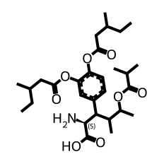 CCC(C)CC(=O)Oc1ccc(C(C(C)C(C)OC(=O)C(C)C)[C@H](N)C(=O)O)cc1OC(=O)CC(C)CC